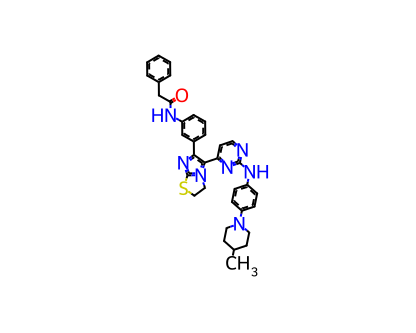 CC1CCN(c2ccc(Nc3nccc(-c4c(-c5cccc(NC(=O)Cc6ccccc6)c5)nc5n4CCS5)n3)cc2)CC1